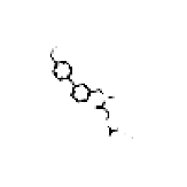 CN(Cc1cccc(-c2ccc(CO)cc2)c1)C(=O)CNC(=O)OC(C)(C)C